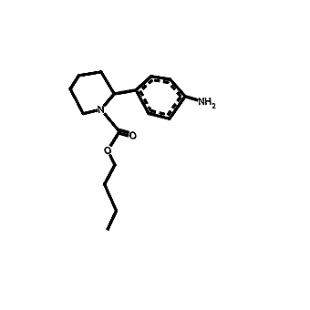 CCCCOC(=O)N1CCCCC1c1ccc(N)cc1